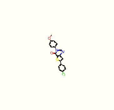 COc1ccc(-n2cnc3cc(-c4ccc(Cl)cc4)sc3c2=O)cc1